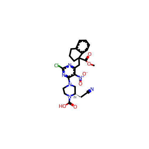 COC(=O)C1(Cc2nc(Cl)nc(N3CCN(C(=O)O)[C@@H](CC#N)C3)c2[N+](=O)[O-])CCCc2ccccc21